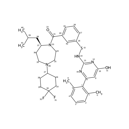 Cc1cccc(C)c1-c1cc(O)nc(NSc2cccc(C(=O)N3CCN(C4CCC(F)(F)CC4)CC[C@H]3CC(C)C)c2)n1